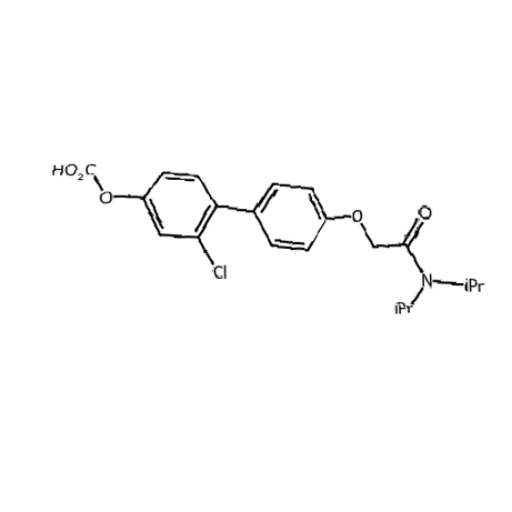 CC(C)N(C(=O)COc1ccc(-c2ccc(OC(=O)O)cc2Cl)cc1)C(C)C